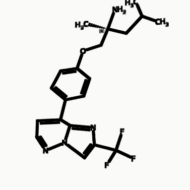 CC(C)C[C@](C)(N)COc1ccc(-c2ccnn3cc(C(F)(F)F)nc23)cc1